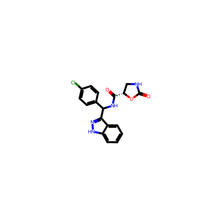 O=C1NC[C@@H](C(=O)NC(c2ccc(Cl)cc2)c2n[nH]c3ccccc23)O1